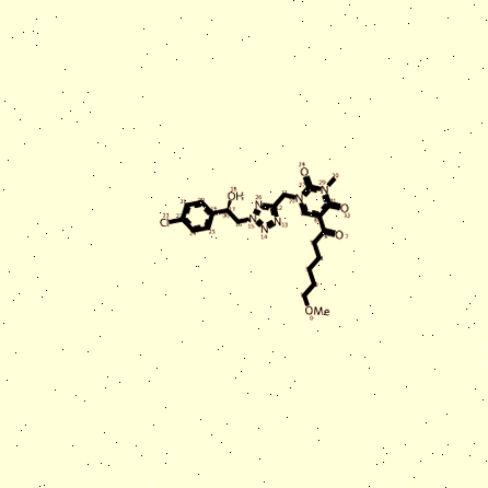 COCCCCCC(=O)c1cn(Cc2nnn(C[C@H](O)c3ccc(Cl)cc3)n2)c(=O)n(C)c1=O